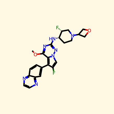 COc1nc(N[C@H]2CCN(C3COC3)C[C@H]2F)nn2cc(F)c(-c3ccc4nccnc4c3)c12